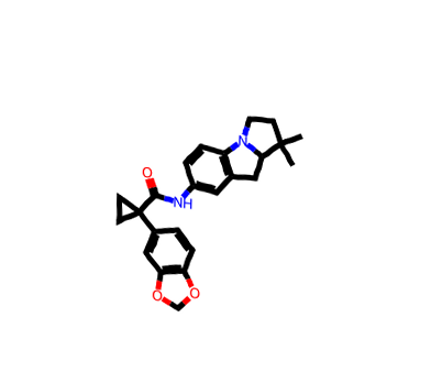 CC1(C)CCN2c3ccc(NC(=O)C4(c5ccc6c(c5)OCO6)CC4)cc3CC21